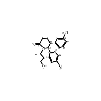 C[C@@H](CCO)N1C(=O)CC[C@H](c2cccc(Cl)c2)[C@H]1c1ccc(Cl)cn1